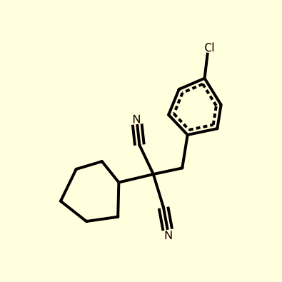 N#CC(C#N)(Cc1ccc(Cl)cc1)C1CCCCC1